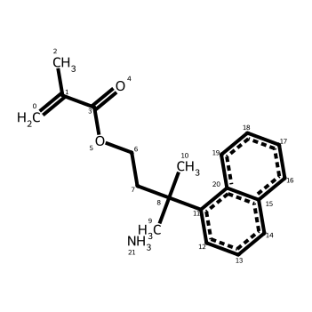 C=C(C)C(=O)OCCC(C)(C)c1cccc2ccccc12.N